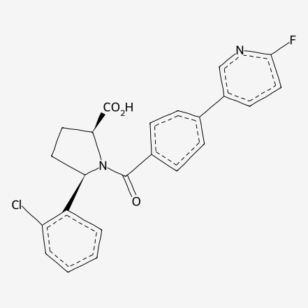 O=C(O)[C@@H]1CC[C@H](c2ccccc2Cl)N1C(=O)c1ccc(-c2ccc(F)nc2)cc1